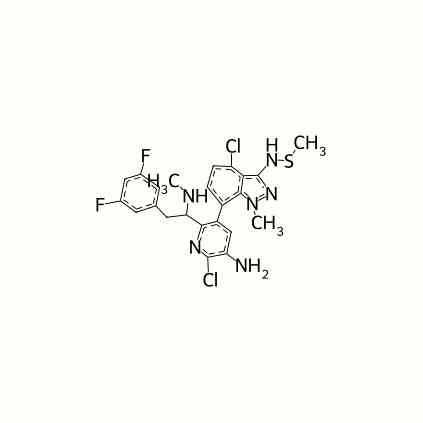 CNC(Cc1cc(F)cc(F)c1)c1nc(Cl)c(N)cc1-c1ccc(Cl)c2c(NSC)nn(C)c12